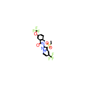 CCS(=O)(=O)c1c(N2Cc3ccc(OC(F)(F)F)cc3C2=O)nn2ccc(C(F)(F)F)cc12